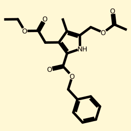 CCOC(=O)Cc1c(C(=O)OCc2ccccc2)[nH]c(COC(C)=O)c1C